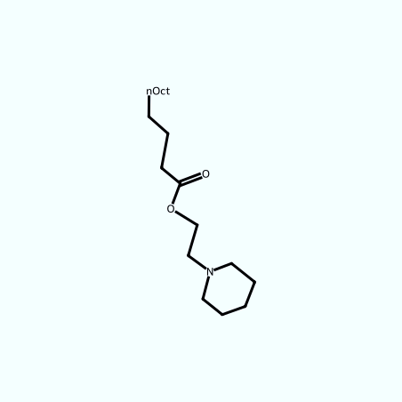 CCCCCCCCCCCC(=O)OCCN1CCCCC1